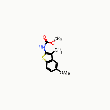 COc1ccc2sc(NC(=O)OC(C)(C)C)c(C)c2c1